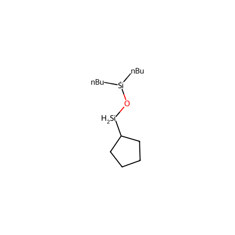 CCCC[Si](CCCC)O[SiH2]C1CCCC1